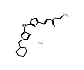 CCOC(=O)/C=C/c1csc(Nc2ccn(CC3CCCCC3)c2)n1.Cl